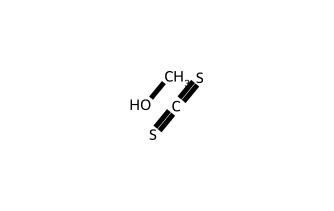 CO.S=C=S